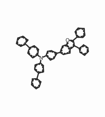 c1ccc(-c2ccc(N(c3ccc(-c4ccccc4)cc3)c3ccc(-c4ccc5c(-c6ccccc6)c(-c6ccccc6)oc5c4)cc3)cc2)cc1